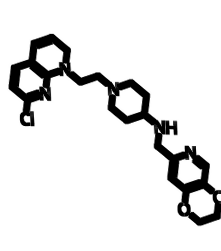 Clc1ccc2c(n1)N(CCN1CCC(NCc3cc4c(cn3)OCCO4)CC1)CC=C2